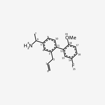 C=CCc1cc(C(C)N)ccc1-c1cc(F)ccc1OC